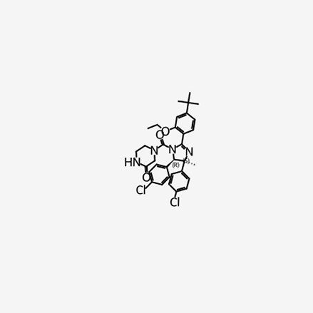 CCOc1cc(C(C)(C)C)ccc1C1=N[C@@](C)(c2ccc(Cl)cc2)[C@@H](c2ccc(Cl)cc2)N1C(=O)N1CCNC(=O)C1